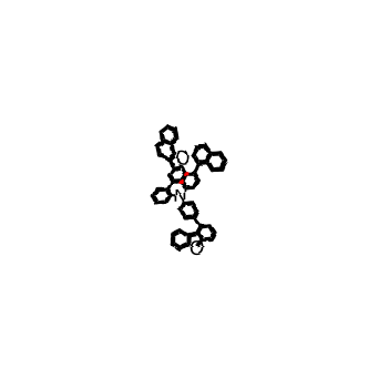 c1ccc(N(c2ccc(-c3cccc4ccccc34)cc2)c2ccc(-c3cccc4oc5ccccc5c34)cc2)c(-c2ccc3oc4c5ccccc5ccc4c3c2)c1